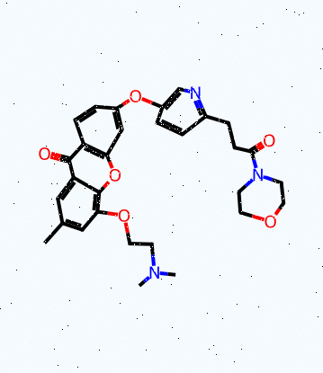 Cc1cc(OCCN(C)C)c2oc3cc(Oc4ccc(CCC(=O)N5CCOCC5)nc4)ccc3c(=O)c2c1